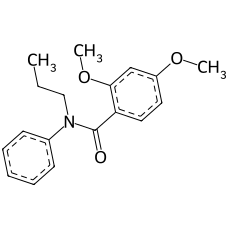 CCCN(C(=O)c1ccc(OC)cc1OC)c1ccccc1